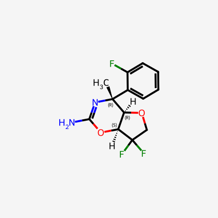 C[C@]1(c2ccccc2F)N=C(N)O[C@H]2[C@@H]1OCC2(F)F